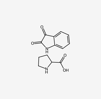 O=C(O)C1CCCN1.O=C1Nc2ccccc2C1=O